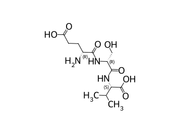 CC(C)[C@H](NC(=O)[C@@H](CO)NC(=O)[C@H](N)CCC(=O)O)C(=O)O